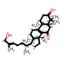 C/C(=C\CC[C@@H](C)[C@H]1CC[C@@]2(C)C3=C(CC[C@]12C)[C@@]1(C)CCC(=O)C(C)(C)[C@@H]1CC3=O)CO